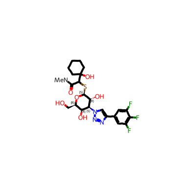 CNC(=O)C(S[C@@H]1O[C@H](CO)[C@H](O)[C@H](n2cc(-c3cc(F)c(F)c(F)c3)nn2)[C@H]1O)C1(O)CCCCC1